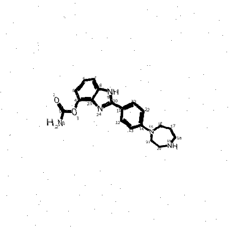 NC(=O)Oc1cccc2[nH]c(-c3ccc(N4CCCNCC4)cc3)nc12